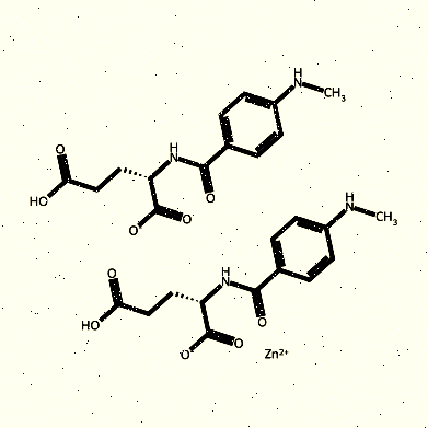 CNc1ccc(C(=O)N[C@@H](CCC(=O)O)C(=O)[O-])cc1.CNc1ccc(C(=O)N[C@@H](CCC(=O)O)C(=O)[O-])cc1.[Zn+2]